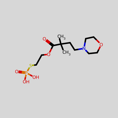 CC(C)(CCN1CCOCC1)C(=O)OCCSP(=O)(O)O